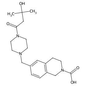 CC(C)(O)CC(=O)N1CCN(Cc2ccc3c(c2)CCN(C(=O)O)C3)CC1